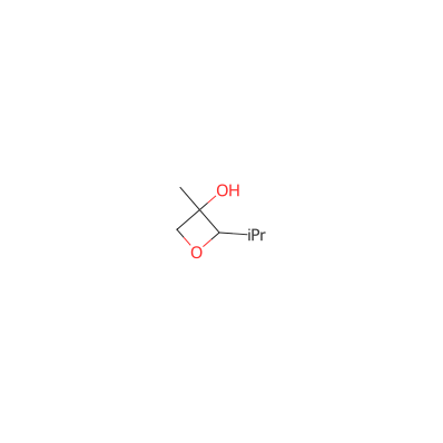 CC(C)C1OCC1(C)O